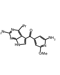 COc1cc(C(=O)c2c[nH]c3nc(N)nc(C(C)C)c23)cc(N)n1